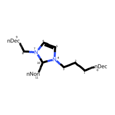 CCCCCCCCCCCCCN1C=CN(CCCCCCCCCCC)C1CCCCCCCCC